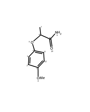 COc1ccc(OC(C)C(N)=O)cc1